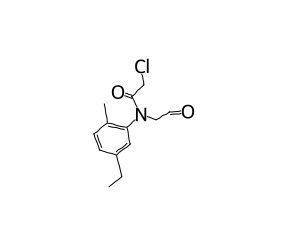 CCc1ccc(C)c(N(CC=O)C(=O)CCl)c1